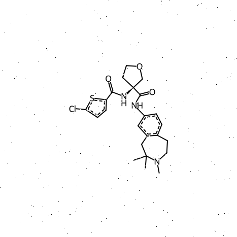 CN1CCc2ccc(NC(=O)[C@]3(NC(=O)c4ccc(Cl)s4)CCOC3)cc2CC1(C)C